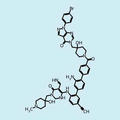 C#Cc1ccc(NC2=C(C=N)C(=O)N(CC3(O)CCN(C)CC3)CN2)c(-c2ccc(-c3ccc(C(=O)N4CCC(O)(Cn5cnc6c(cnn6-c6ccc(Br)cc6)c5=O)CC4)cc3)c(N)c2)c1